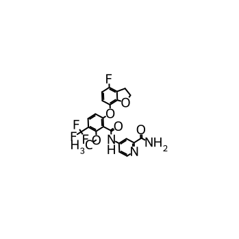 COc1c(C(F)(F)F)ccc(Oc2ccc(F)c3c2OCC3)c1C(=O)Nc1ccnc(C(N)=O)c1